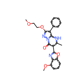 COCCOc1nn2c(=O)c(-c3nc4c(OC)cccc4o3)c(C)[nH]c2c1-c1ccccc1